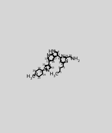 CCCCc1cc(-c2c[nH]c3ncc(-c4cnn(C5CCN(C)CC5)c4)cc23)nc(CN)n1